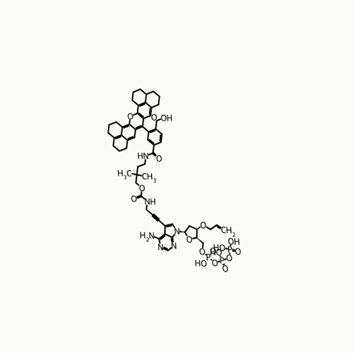 C=CCO[C@@H]1C[C@H](n2cc(C#CCNC(=O)OCC(C)(C)CCNC(=O)c3ccc(C(=O)O)c(C4=c5cc6c7c(c5Oc5c4cc4c8c5CCCC8CCC4)CCCC=7CCC6)c3)c3c(N)ncnc32)O[C@@H]1COP(=O)(O)OP(=O)(O)OP(=O)(O)O